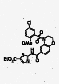 CCOC(=O)c1cnc(NC(=O)c2ccc3c(c2)N(S(=O)(=O)c2cc(Cl)ccc2OC)CCO3)s1